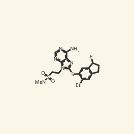 CCc1cc2c(cc1Sc1nc3c(N)ncnc3n1CCS(=O)(=O)NC)C(F)CC2